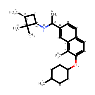 CC1CCC(Oc2ccc3ccc(C(C)N[C@@H]4C[C@H](C(=O)O)C4(C)C)cc3c2C(F)(F)F)CC1